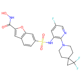 O=C(NO)c1cc2ccc(S(=O)(=O)Nc3cc(F)cnc3N3CCC4(CC3)CC4(F)F)cc2o1